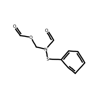 O=COCN(C=O)Sc1ccccc1